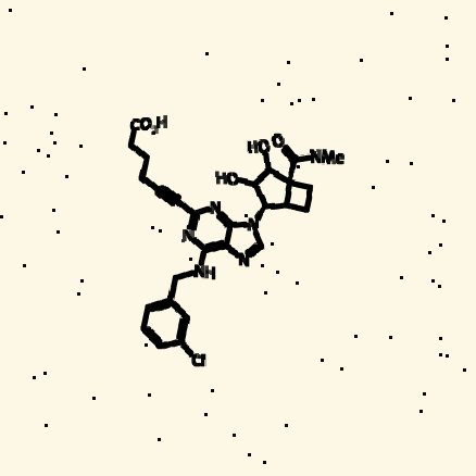 CNC(=O)[C@@]12CCC1[C@@H](n1cnc3c(NCc4cccc(Cl)c4)nc(C#CCCCC(=O)O)nc31)C(O)C2O